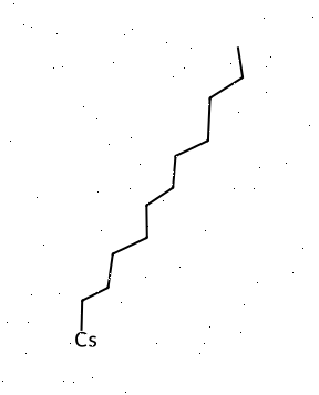 CCCCCCCCCC[CH2][Cs]